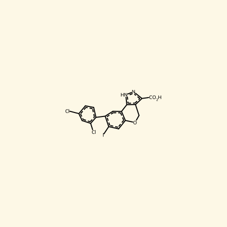 O=C(O)c1n[nH]c2c1COc1cc(I)c(-c3ccc(Cl)cc3Cl)cc1-2